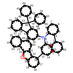 c1ccc(-c2ccccc2N(c2cccc(-c3cccc4oc5c6ccccc6ccc5c34)c2)c2ccc3c(c2)C(c2ccccc2)(c2ccccc2)c2ccccc2-3)cc1